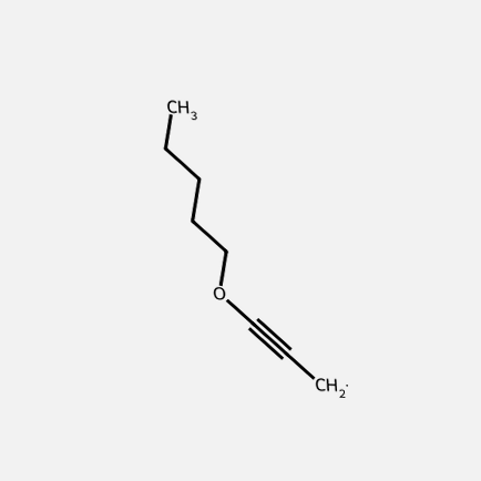 [CH2]C#COCCCCC